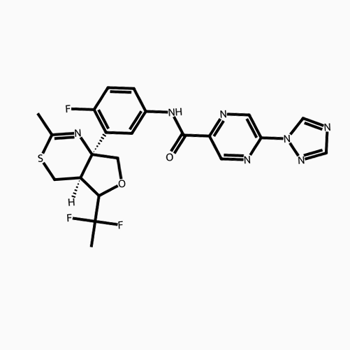 CC1=N[C@@]2(c3cc(NC(=O)c4cnc(-n5cncn5)cn4)ccc3F)COC(C(C)(F)F)[C@H]2CS1